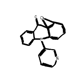 O=C1c2ccccc2P(c2cccnc2)C2=CC=CC3OC123